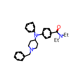 CCN(CC)C(=O)c1ccc(N(c2ccccc2)C2CCN(Cc3ccccc3)CC2)cc1